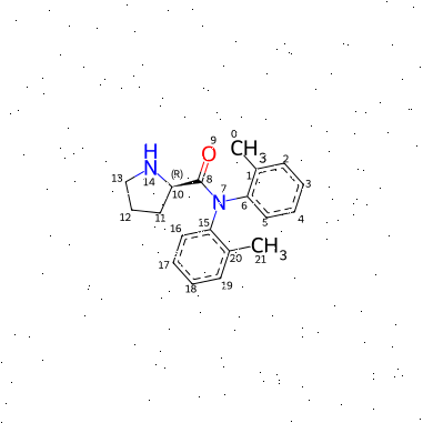 Cc1ccccc1N(C(=O)[C@H]1CCCN1)c1ccccc1C